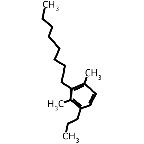 CCCCCCCCc1c(C)ccc(CCC)c1C